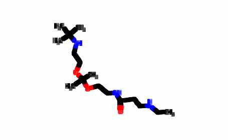 CCNCCC(=O)NCCOC(C)(C)OCCNC(C)(C)C